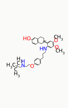 COc1cc(NCCCc2ccc(OCCNCC(C)(C)C)cc2)c([C@@H]2CCc3cc(O)ccc3C2)cc1OC